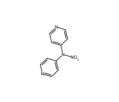 O=[N+]([O-])N(c1ccncc1)c1ccncc1